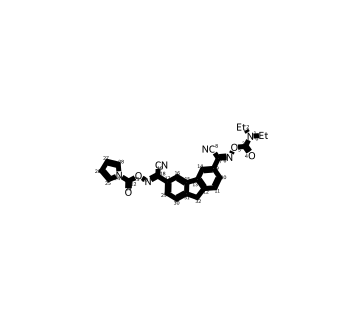 CCN(CC)C(=O)O/N=C(\C#N)c1ccc2c(c1)-c1cc(/C(C#N)=N/OC(=O)n3cccc3)ccc1C2